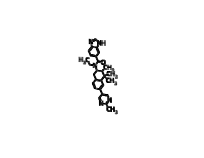 CCN(C(=O)c1ccc2nc[nH]c2c1)[C@@H]1Cc2ccc(-c3cnc(C)nc3)cc2C(C)(C)[C@@H]1C